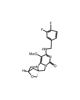 COc1c(NCc2ccc(F)c(F)c2)nc(=O)n2c1N1C[C@@H]3C[C@]1(CO3)C2